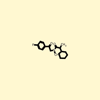 CC(C(=O)N(C)CC(=O)c1ccc(F)cc1)C1CCCCC1